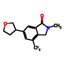 CN1Cc2c(cc(C3CCOC3)cc2C(F)(F)F)C1=O